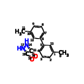 Cc1cccc(-c2cccc(C)c2)c1.N=C=O.N=C=O